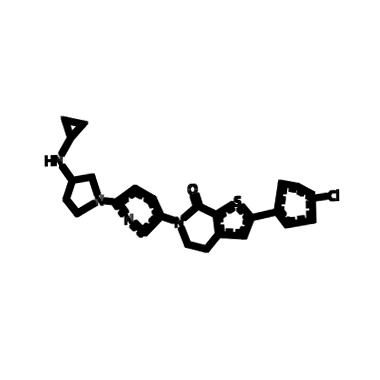 O=C1c2sc(-c3ccc(Cl)cc3)cc2CCN1c1ccc(N2CCC(NC3CC3)C2)nc1